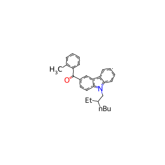 CCCCC(CC)Cn1c2cc[c]cc2c2cc(C(=O)c3ccccc3C)ccc21